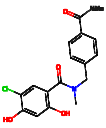 CNC(=O)c1ccc(CN(C)C(=O)c2cc(Cl)c(O)cc2O)cc1